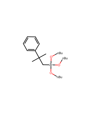 CCCC[O][Zr]([CH2]C(C)(C)c1ccccc1)([O]CCCC)[O]CCCC